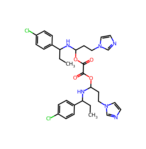 CCC(NC(CCn1ccnc1)OC(=O)C(=O)OC(CCn1ccnc1)NC(CC)c1ccc(Cl)cc1)c1ccc(Cl)cc1